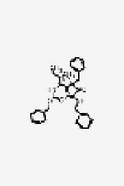 CC[C@H](C)[C@H](NC(=O)OCc1ccccc1)C(=O)[C@@](N)(Cc1ccccc1)C(=O)C(=O)NCc1ccccc1